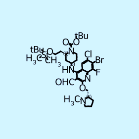 CN1CCC[C@H]1COc1nc2c(F)c(Br)c(Cl)cc2c(N[C@H]2CCN(C(=O)OC(C)(C)C)[C@H](CCO[Si](C)(C)C(C)(C)C)C2)c1C=O